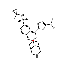 CC1(NS(=O)(=O)c2ccc3nc(N4C5CNCC4COC5)nc(-c4nnc(C(F)F)s4)c3c2)CC1